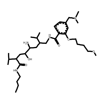 CCCCNC(=O)C(CC(O)C(N)CC(CNC(=O)c1ccc(CN(C)C)cc1OCCCCOC)C(C)C)C(C)C